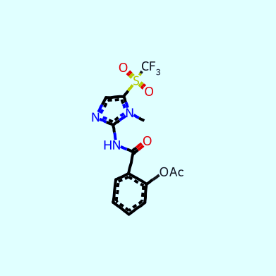 CC(=O)Oc1ccccc1C(=O)Nc1ncc(S(=O)(=O)C(F)(F)F)n1C